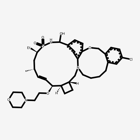 CC[C@@H]1C[C@@H](C)/C=C/[C@H](OCCN2CCOCC2)[C@@H]2CC[C@H]2CN2CCCCc3cc(Cl)ccc3COc3ccc(cc32)C(O)NS1(=O)=O